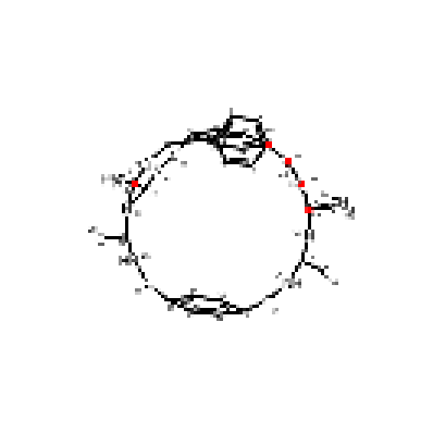 CC1NCc2ccc(cc2)CNC(C)N2C(C)NCc3ccc(cc3)CNC(C)N1C(C)NCc1ccc(cc1)CNC2C